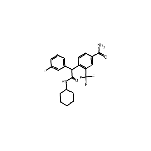 NC(=O)c1ccc(C(C(=O)NC2CCCCC2)c2cccc(F)c2)c(C(F)(F)F)c1